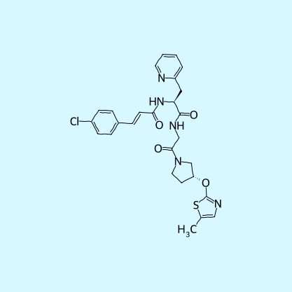 Cc1cnc(O[C@@H]2CCN(C(=O)CNC(=O)[C@H](Cc3ccccn3)NC(=O)C=Cc3ccc(Cl)cc3)C2)s1